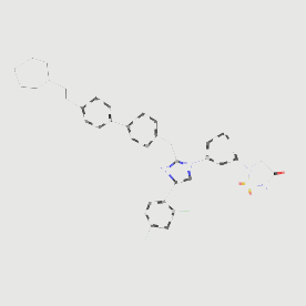 O=C1CN(c2cccc(-n3cc(-c4ccc(Cl)cc4Cl)nc3Cc3ccc(-c4ccc(CCC5CCCCC5)cc4)cc3)c2)S(=O)(=O)N1